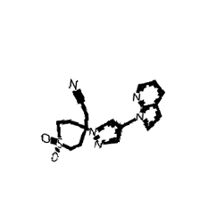 N#CCC1(n2cc(-n3ccc4cccnc43)cn2)CCS(=O)(=O)CC1